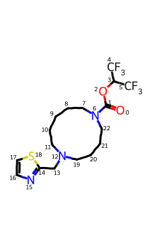 O=C(OC(C(F)(F)F)C(F)(F)F)N1CCCCCN(Cc2nccs2)CCCC1